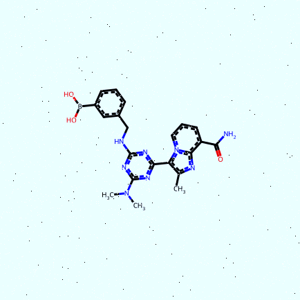 Cc1nc2c(C(N)=O)cccn2c1-c1nc(NCc2cccc(B(O)O)c2)nc(N(C)C)n1